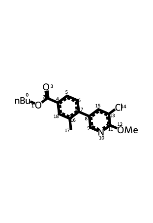 CCCCOC(=O)c1ccc(-c2cnc(OC)c(Cl)c2)c(C)c1